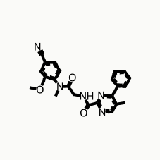 COc1cc(C#N)ccc1N(C)C(=O)CNC(=O)c1ncc(C)c(-c2ccccc2)n1